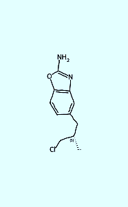 [CH2][C@H](CCl)Cc1ccc2oc(N)nc2c1